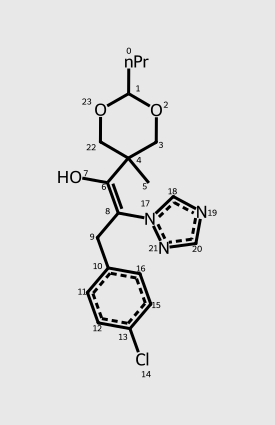 CCCC1OCC(C)(/C(O)=C(/Cc2ccc(Cl)cc2)n2cncn2)CO1